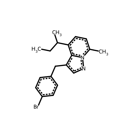 CCC(C)c1ccc(C)n2ncc(Cc3ccc(Br)cc3)c12